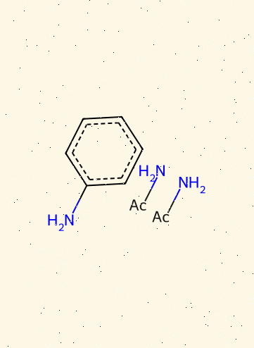 CC(N)=O.CC(N)=O.Nc1ccccc1